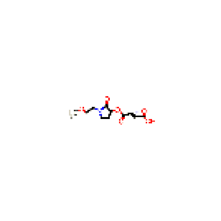 COCCN1CCC(OC(=O)/C=C/C(=O)O)C1=O